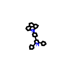 c1ccc(-c2cc(-c3ccc(-n4c5cccc6ccc7cccc4c7c65)cc3)cc(-c3ccccc3)n2)cc1